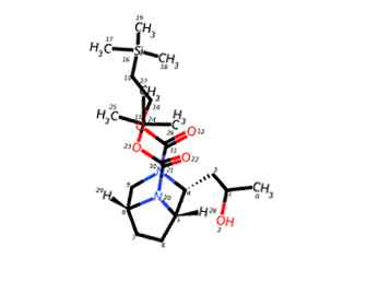 CC(O)C[C@@H]1[C@@H]2CC[C@H](CN1C(=O)OCC[Si](C)(C)C)N2C(=O)OC(C)(C)C